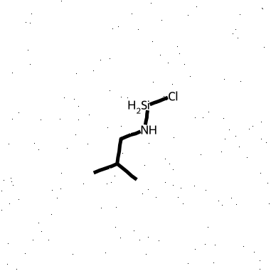 CC(C)CN[SiH2]Cl